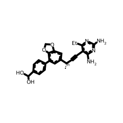 CCc1nc(N)nc(N)c1C#C[C@H](C)c1cc2c(c(-c3ccc(C(O)O)cc3)c1)OCO2